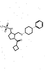 CS(=O)(=O)NC1CCN(C(=O)C2CCC2)C1CO[C@H]1CC[C@@H](c2ccccc2)CC1